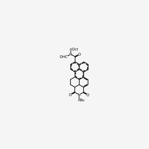 CCCCCCCCN(C=O)C(=O)c1ccc2c3c4c(c5cccc1c25)=CC=C1C(=O)N(CCCC)C(=O)C(CC3)C14